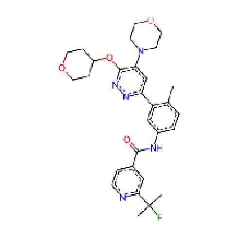 Cc1ccc(NC(=O)c2ccnc(C(C)(C)F)c2)cc1-c1cc(N2CCOCC2)c(OC2CCOCC2)nn1